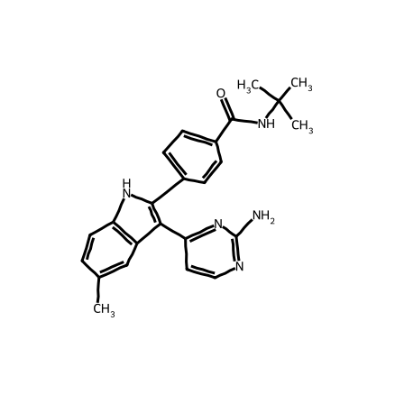 Cc1ccc2[nH]c(-c3ccc(C(=O)NC(C)(C)C)cc3)c(-c3ccnc(N)n3)c2c1